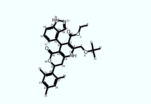 CCOC(=O)C1=C(COC(C)(C)C)NC2=C(C(=O)OC(c3c(C)cc(C)cc3C)C2)C1c1cccc2[nH]ncc12